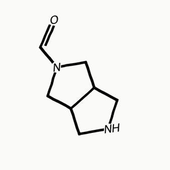 O=CN1CC2CNCC2C1